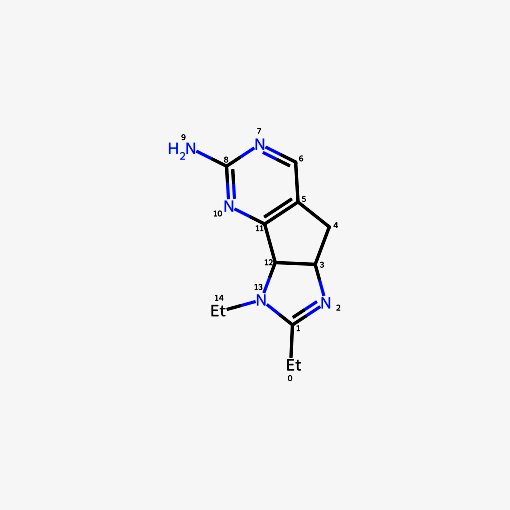 CCC1=NC2Cc3cnc(N)nc3C2N1CC